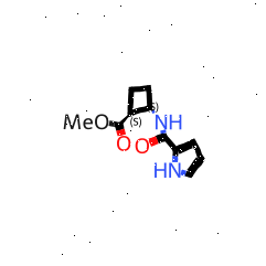 COC(=O)[C@H]1CC[C@@H]1NC(=O)c1ccc[nH]1